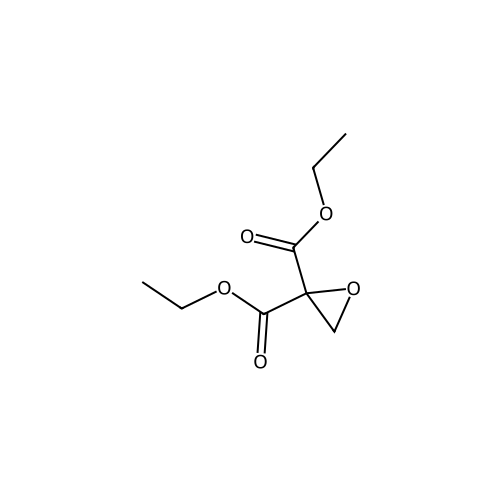 CCOC(=O)C1(C(=O)OCC)CO1